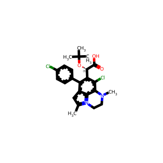 Cc1cc2c(-c3ccc(Cl)cc3)c([C@H](OC(C)(C)C)C(=O)O)c(Cl)c3c2n1CCN3C